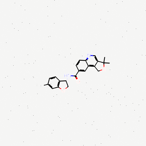 CC1(C)OCc2c1cnc1ccc(C(=O)N[C@@H]3COc4cc(C(F)(F)F)ccc43)cc21